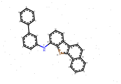 c1ccc(-c2cccc(Nc3cccc4c3sc3c5ccccc5ccc43)c2)cc1